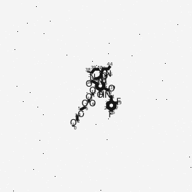 COCCOCCOC(=O)OCOc1c2n(cc(C(=O)NCc3ccc(F)cc3F)c1=O)[C@@H]1CN(C2=O)[C@@H](C)CC[C@]12CC(C)=NO2